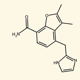 Cc1oc2c(C(N)=O)ccc(Cc3ncc[nH]3)c2c1C